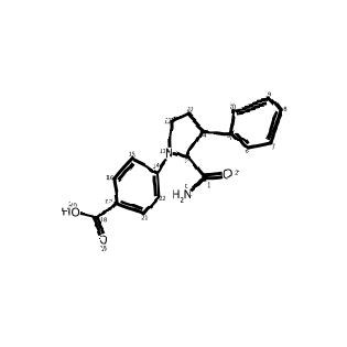 NC(=O)C1C(c2ccccc2)CCN1c1ccc(C(=O)O)cc1